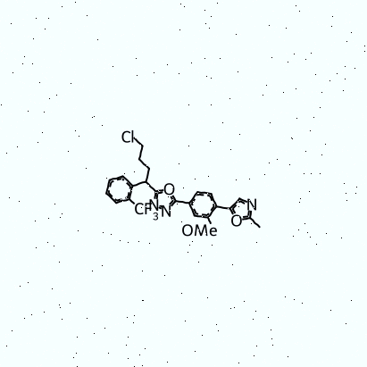 COc1cc(-c2nnc(C(CCCCl)c3ccccc3C(F)(F)F)o2)ccc1-c1cnc(C)o1